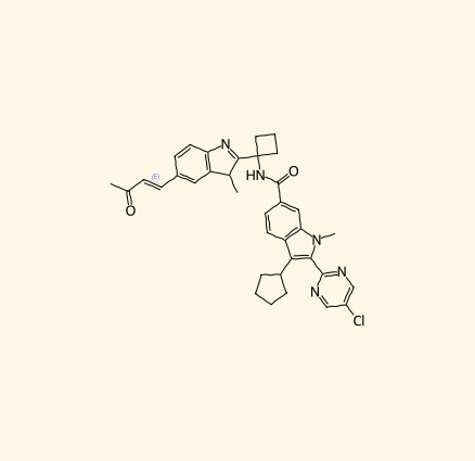 CC(=O)/C=C/c1ccc2c(c1)C(C)C(C1(NC(=O)c3ccc4c(C5CCCC5)c(-c5ncc(Cl)cn5)n(C)c4c3)CCC1)=N2